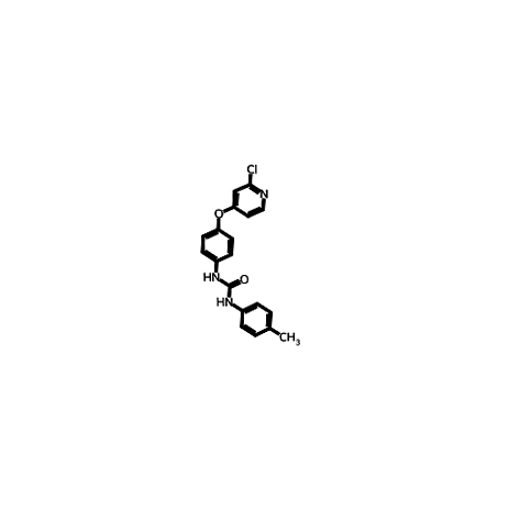 Cc1ccc(NC(=O)Nc2ccc(Oc3ccnc(Cl)c3)cc2)cc1